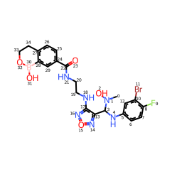 CN(O)C(Nc1ccc(F)c(Br)c1)c1nonc1NCCNC(=O)c1ccc2c(c1)B(O)OCC2